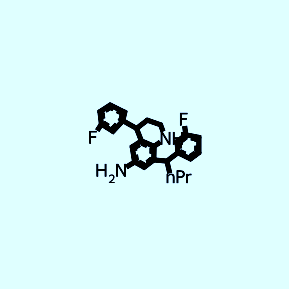 CCCC(c1cccc(F)c1)c1cc(N)cc2c1NCCC2c1cccc(F)c1